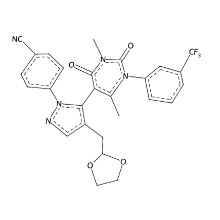 Cc1c(-c2c(CC3OCCO3)cnn2-c2ccc(C#N)cc2)c(=O)n(C)c(=O)n1-c1cccc(C(F)(F)F)c1